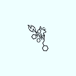 CC(=O)SCCN(CCC1CCCCC1)C(=O)NC1(C(=O)N2CCN(C)CC2)CCCC1